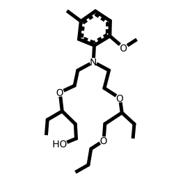 CCCOCC(CC)OCCN(CCOC(CC)CCO)c1cc(C)ccc1OC